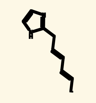 [CH2]C=CC=CCc1ncc[nH]1